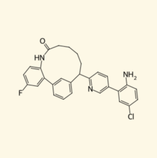 Nc1ccc(Cl)cc1-c1ccc(C2CCCCC(=O)Nc3ccc(F)cc3-c3cccc2c3)nc1